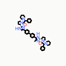 Cc1nc([C@@H]2CCCN2C(=O)[C@@H](c2ccccc2)N2CCCCC2)[nH]c1-c1ccc(-c2ccc(-c3c[nH]c([C@@H]4CCCN4C(=O)[C@@H](c4ccccc4)N4CCCCC4)n3)cc2)cc1